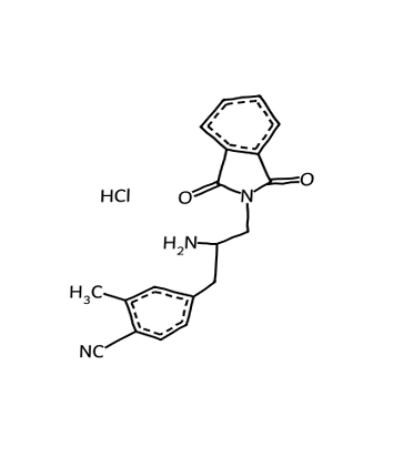 Cc1cc(CC(N)CN2C(=O)c3ccccc3C2=O)ccc1C#N.Cl